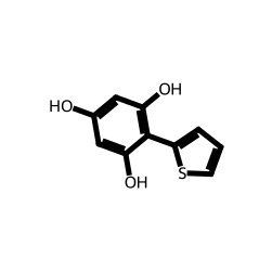 Oc1cc(O)c(-c2cccs2)c(O)c1